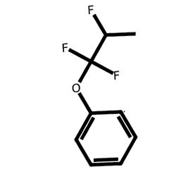 CC(F)C(F)(F)Oc1[c]cccc1